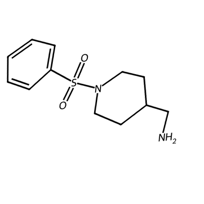 NCC1CCN(S(=O)(=O)c2ccccc2)CC1